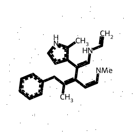 C=CN/C=C(C(/C=C\NC)=C(/C)Cc1ccccc1)\c1cc[nH]c1C